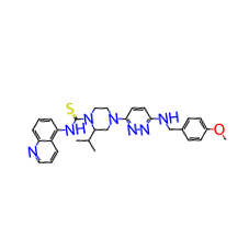 COc1ccc(CNc2ccc(N3CCN(C(=S)Nc4cccc5ncccc45)C(C(C)C)C3)nn2)cc1